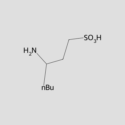 CCCCC(N)CCS(=O)(=O)O